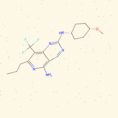 CCCc1nc(N)c2cnc(N[C@H]3CC[C@@H](OC)CC3)nc2c1C(F)(F)F